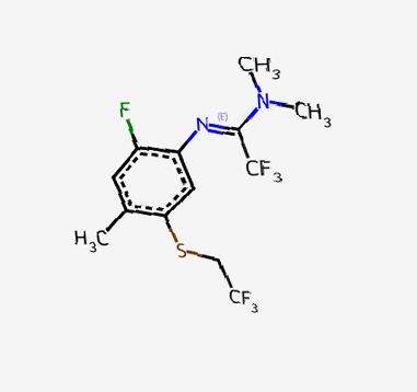 Cc1cc(F)c(/N=C(/N(C)C)C(F)(F)F)cc1SCC(F)(F)F